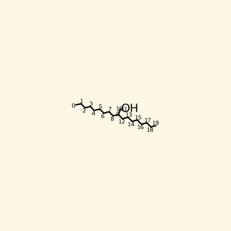 CCCCCCCCCC(CO)CCCCCCCC